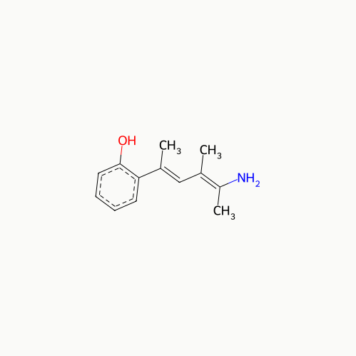 C/C(=C\C(C)=C(/C)N)c1ccccc1O